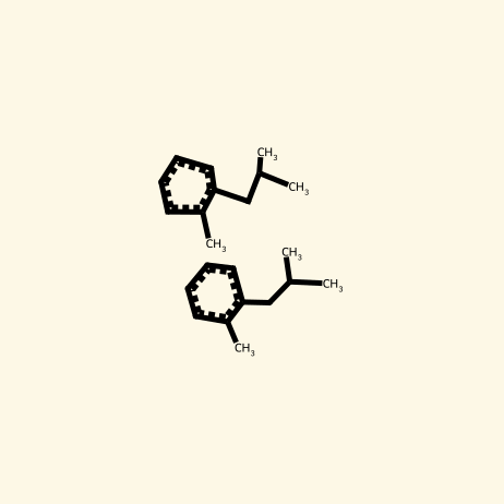 Cc1ccccc1CC(C)C.Cc1ccccc1CC(C)C